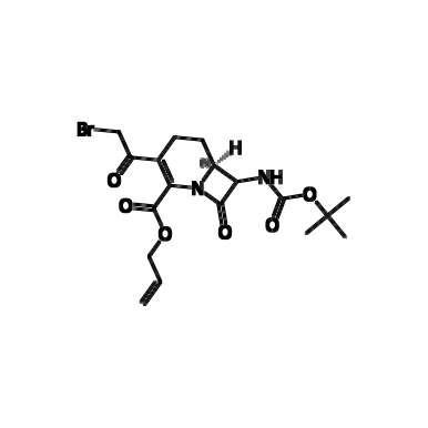 C=CCOC(=O)C1=C(C(=O)CBr)CC[C@H]2C(NC(=O)OC(C)(C)C)C(=O)N12